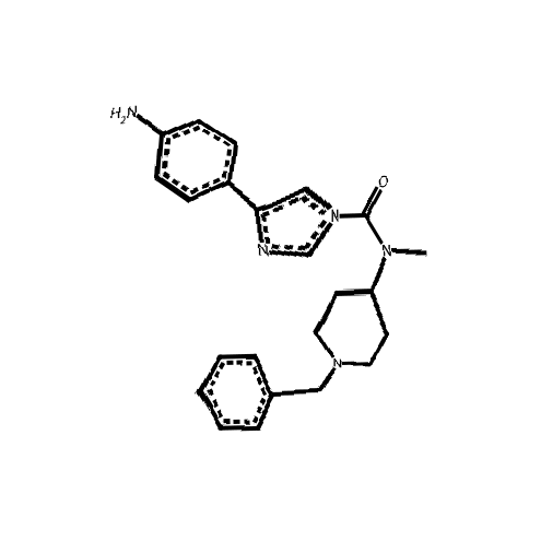 CN(C(=O)n1cnc(-c2ccc(N)cc2)c1)C1CCN(Cc2ccccc2)CC1